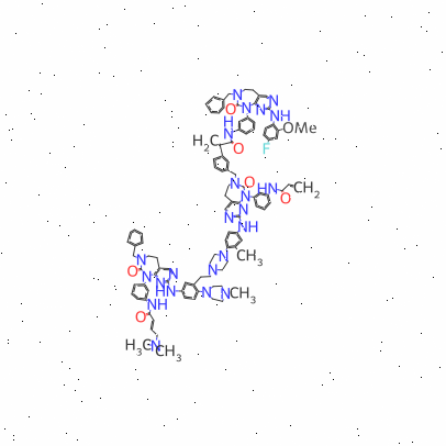 C=CC(=O)Nc1cccc(N2C(=O)N(Cc3cccc(C(=C)C(=O)Nc4cccc(N5C(=O)N(Cc6ccccc6)CCc6cnc(Nc7ccc(F)cc7OC)nc65)c4)c3)CCc3cnc(Nc4ccc(N5CCN(CCc6cc(Nc7ncc8c(n7)N(c7cccc(NC(=O)/C=C/CN(C)C)c7)C(=O)N(Cc7ccccc7)CC8)ccc6N6CCN(C)CC6)CC5)c(C)c4)nc32)c1